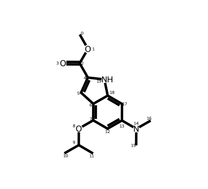 COC(=O)c1cc2c(OC(C)C)cc(N(C)C)cc2[nH]1